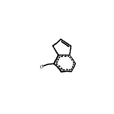 Clc1cccc2c1C[C]=C2